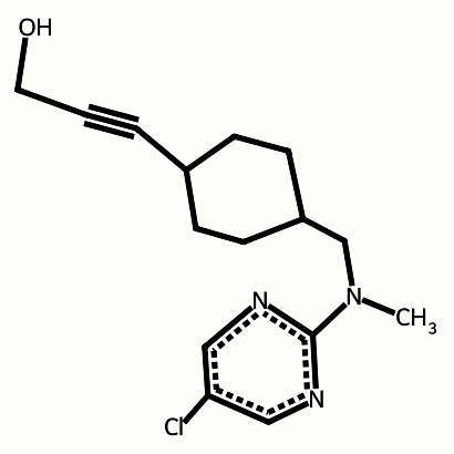 CN(CC1CCC(C#CCO)CC1)c1ncc(Cl)cn1